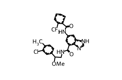 COC(CNC(=O)c1cc(NC(=O)c2ccccc2C(F)(F)F)cc2[nH]cnc12)c1ccc(C)c(Cl)c1